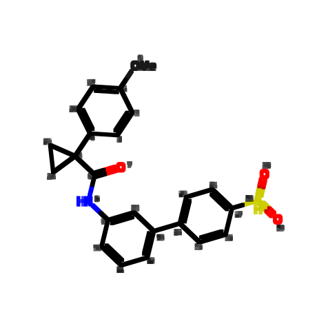 COc1ccc(C2(C(=O)Nc3cccc(-c4ccc([SH](=O)=O)cc4)c3)CC2)cc1